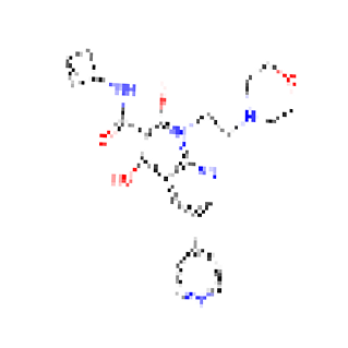 O=C(NC12CC(C1)C2)c1c(O)c2cc(-c3ccncc3)cnc2n(CCN2CCOCC2)c1=O